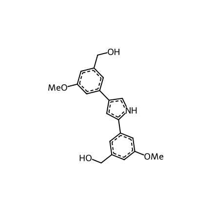 COc1cc(CO)cc(-c2c[nH]c(-c3cc(CO)cc(OC)c3)c2)c1